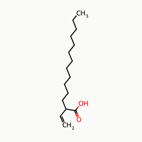 C=CC(CCCCCCCCCCCC)C(=O)O